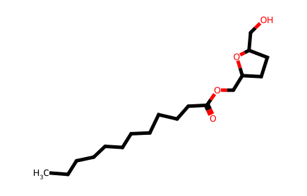 CCCCCCCCCCCC(=O)OCC1CCC(CO)O1